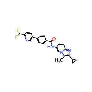 Cc1c(C2CC2)nc2ccc(NC(=O)c3ccc(-c4ccc(C(F)F)nc4)cc3)cn12